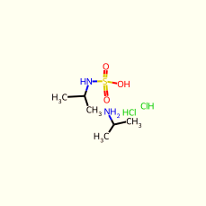 CC(C)N.CC(C)NS(=O)(=O)O.Cl.Cl